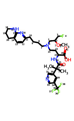 COC(CF)CN(CCCCc1ccc2c(n1)NCCC2)CCC(NC(=O)C(C)(C)c1cncc(C(F)(F)F)c1)C(=O)O